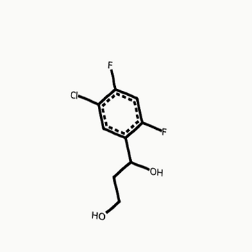 OCCC(O)c1cc(Cl)c(F)cc1F